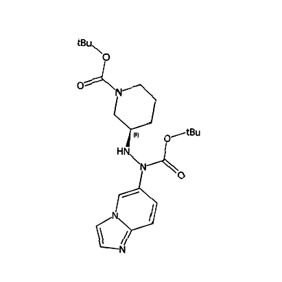 CC(C)(C)OC(=O)N1CCC[C@@H](NN(C(=O)OC(C)(C)C)c2ccc3nccn3c2)C1